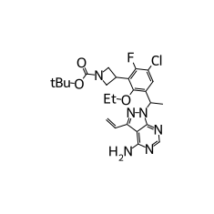 C=Cc1nn(C(C)c2cc(Cl)c(F)c(C3CN(C(=O)OC(C)(C)C)C3)c2OCC)c2ncnc(N)c12